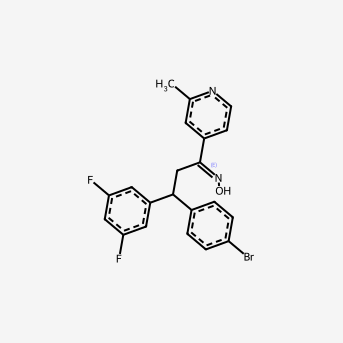 Cc1cc(/C(CC(c2ccc(Br)cc2)c2cc(F)cc(F)c2)=N/O)ccn1